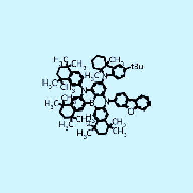 CC(C)(C)c1ccc2c(c1)C1(C)CCCCC1(C)N2c1cc2c3c(c1)N(c1ccc4c(c1)oc1ccccc14)c1cc4c(cc1B3c1cc3c(cc1N2c1ccc2c(c1)C(C)(C)CCC2(C)C)C(C)(C)CCC3(C)C)C(C)(C)CCC4(C)C